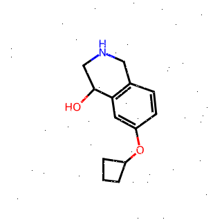 OC1CNCc2ccc(OC3CCC3)cc21